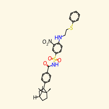 CC1(C)[C@@H]2CC[C@@]1(C)C(c1ccc(C(=O)NS(=O)(=O)c3ccc(NCCSc4ccccc4)c([N+](=O)[O-])c3)cc1)C2